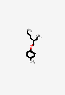 CCCCC(CC)COC1=CC=C(C)CC1